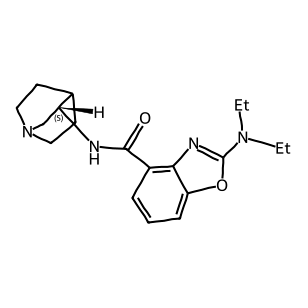 CCN(CC)c1nc2c(C(=O)N[C@@H]3CN4CCC3CC4)cccc2o1